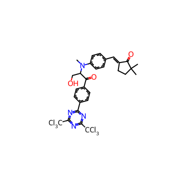 CN(c1ccc(/C=C2\CCC(C)(C)C2=O)cc1)C(CO)C(=O)c1ccc(-c2nc(C(Cl)(Cl)Cl)nc(C(Cl)(Cl)Cl)n2)cc1